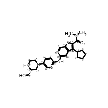 CN(C)C(=O)c1sc2cnc(Nc3ccc(N4CCN[C@@H](CO)C4)cn3)cc2c1C1CCCC1